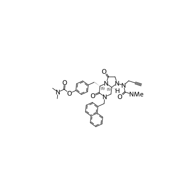 C#CCN(C(=O)NC)N1CC(=O)N2[C@@H](Cc3ccc(OC(=O)N(C)C)cc3)C(=O)N(Cc3cccc4ccccc34)C[C@@H]21